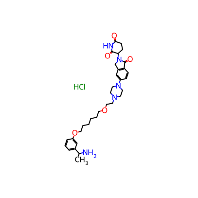 CC(N)c1cccc(OCCCCCCOCCN2CCN(c3ccc4c(c3)CN(C3CCC(=O)NC3=O)C4=O)CC2)c1.Cl